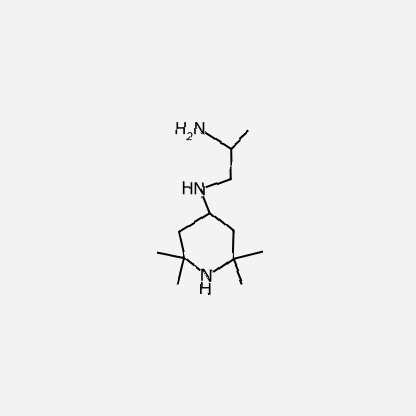 CC(N)CNC1CC(C)(C)NC(C)(C)C1